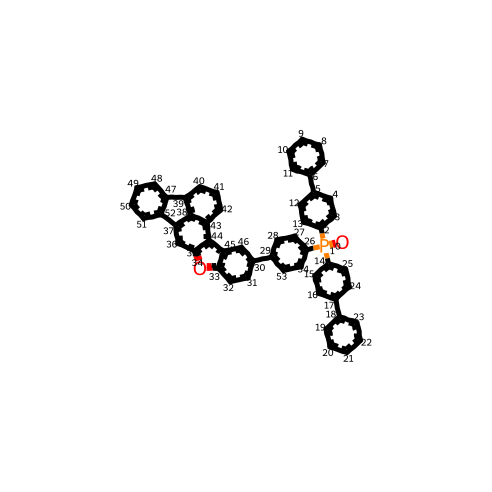 O=P(c1ccc(-c2ccccc2)cc1)(c1ccc(-c2ccccc2)cc1)c1ccc(-c2ccc3oc4cc5c6c(cccc6c4c3c2)-c2ccccc2-5)cc1